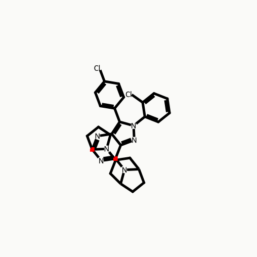 Clc1ccc(-c2c3ncnc(N4C5CCC4CC(N4CCCC4)C5)c3nn2-c2ccccc2Cl)cc1